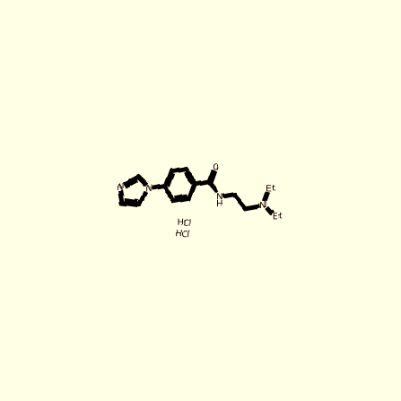 CCN(CC)CCNC(=O)c1ccc(-n2ccnc2)cc1.Cl.Cl